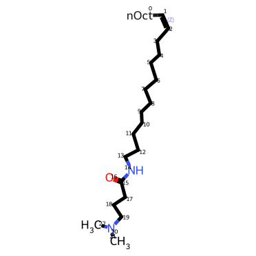 CCCCCCCC/C=C\CCCCCCCCCCCNC(=O)CCCN(C)C